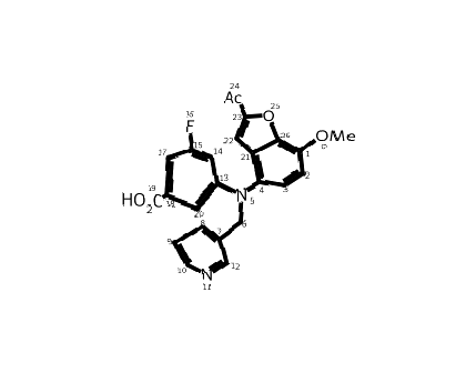 COc1ccc(N(Cc2cccnc2)c2cc(F)cc(C(=O)O)c2)c2cc(C(C)=O)oc12